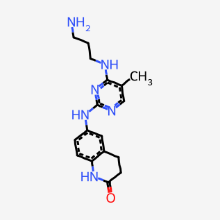 Cc1cnc(Nc2ccc3c(c2)CCC(=O)N3)nc1NCCCN